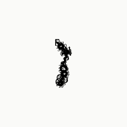 Cn1c(SCCCN2CCc3ccc(S(=O)(=O)c4ccco4)cc3CC2)nnc1-c1ccc(F)cc1